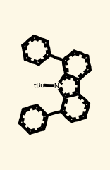 CC(C)(C)n1c2c(-c3ccccc3)cccc2c2cccc(-c3ccccc3)c21